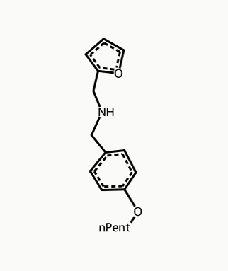 CCCCCOc1ccc(CNCc2ccco2)cc1